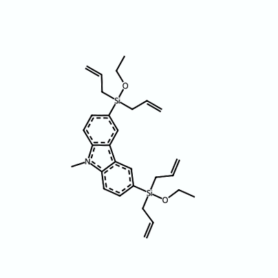 C=CC[Si](CC=C)(OCC)c1ccc2c(c1)c1cc([Si](CC=C)(CC=C)OCC)ccc1n2C